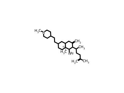 C=C(C)CCC(C)C1C(=C)CC2CC(CCC3CCN(C)CC3)CC[C@]2(C)C1CCC